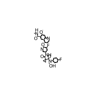 CNC(=O)c1cc2c(Oc3ncc(NC(=O)C4(C(=O)N(CO)c5ccc(F)cc5)CC4)cc3F)ccnc2cc1OC